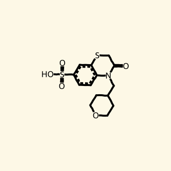 O=C1CSc2cc(S(=O)(=O)O)ccc2N1CC1CCOCC1